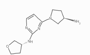 N[C@@H]1CCN(c2ccnc(N[C@@H]3CCOC3)n2)C1